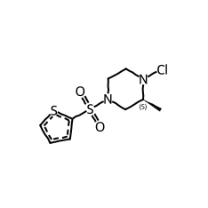 C[C@H]1CN(S(=O)(=O)c2cccs2)CCN1Cl